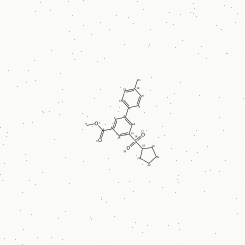 COC(=O)c1cc(-c2ccc(C)cc2)cc(S(=O)(=O)C2CCCC2)c1